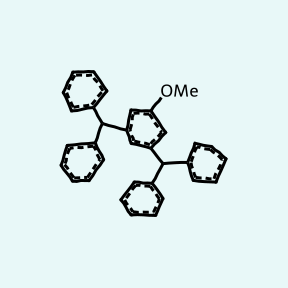 COc1cc(C(c2ccccc2)c2ccccc2)cc(C(c2ccccc2)c2ccccc2)c1